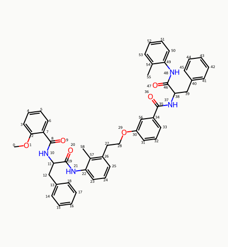 COc1ccccc1C(=O)NC(Cc1ccccc1)C(=O)Nc1cccc(CCOc2cccc(C(=O)NC(Cc3ccccc3)C(=O)Nc3ccccc3C)c2)c1C